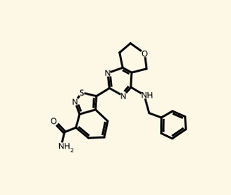 NC(=O)c1cccc2c(-c3nc4c(c(NCc5ccccc5)n3)COCC4)snc12